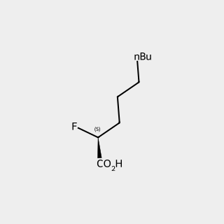 CCCCCCC[C@H](F)C(=O)O